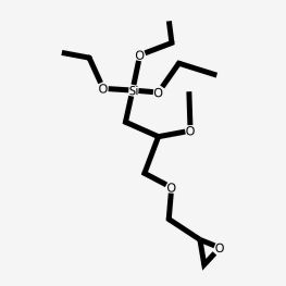 CCO[Si](CC(COCC1CO1)OC)(OCC)OCC